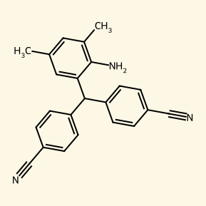 Cc1cc(C)c(N)c(C(c2ccc(C#N)cc2)c2ccc(C#N)cc2)c1